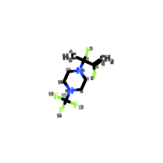 C=C(F)C(C)(F)N1CCN(C(F)(F)F)CC1